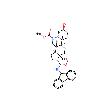 CC(C)(C)OC(=O)N1C[C@H]2[C@@H]3CC[C@H](C(=O)NC4c5ccccc5-c5ccccc54)[C@@]3(C)CC[C@@H]2[C@@]2(C)CCC(=O)C=C12